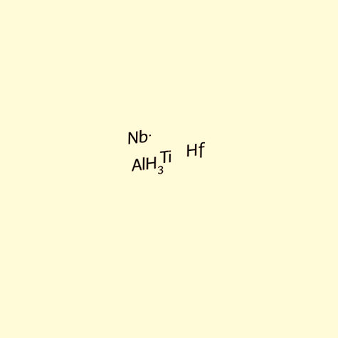 [AlH3].[Hf].[Nb].[Ti]